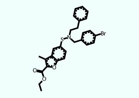 CCOC(=O)c1oc2ccc(SN(CCc3ccccc3)Cc3ccc(Br)cc3)cc2c1C